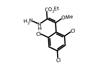 CCOC(=O)C(NN)=C(OC)c1c(Cl)cc(Cl)cc1Cl